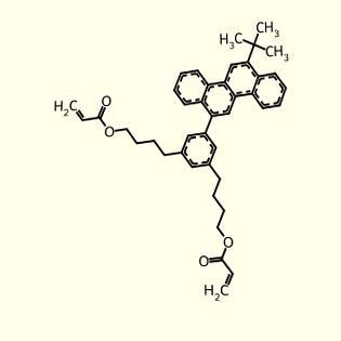 C=CC(=O)OCCCCc1cc(CCCCOC(=O)C=C)cc(-c2cc3c4ccccc4c(C(C)(C)C)cc3c3ccccc23)c1